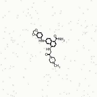 CN1CCN(C(=O)CNc2ccc(C(N)=O)c3ccc(Nc4ccc5c(c4)OCO5)cc23)CC1